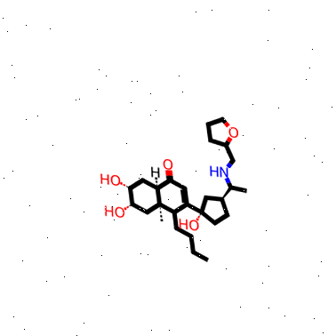 CCCCC1C([C@]2(O)CC[C@H](C(C)NCC3CCCO3)C2)=CC(=O)[C@@H]2C[C@@H](O)[C@@H](O)C[C@]12C